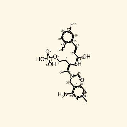 C/C(=C(CCOP(=O)(O)O)/[SH]=C(O)\C=C\c1cc(F)ccc1F)N(C=O)Cc1cnc(C)nc1N